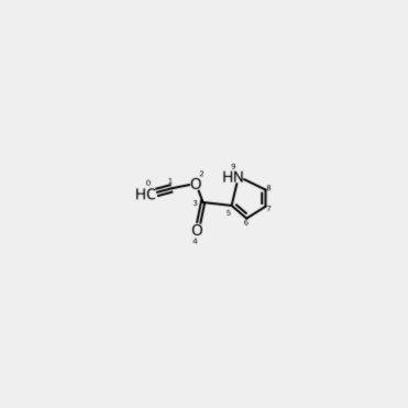 C#COC(=O)c1ccc[nH]1